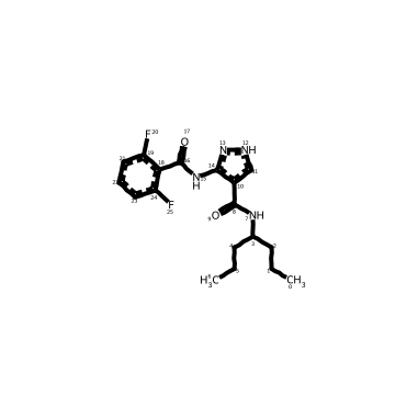 CCCC(CCC)NC(=O)c1c[nH]nc1NC(=O)c1c(F)cccc1F